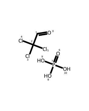 O=CC(Cl)(Cl)Cl.O=P(O)(O)O